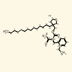 CCCCCCCCCCCCCCC1(COC(=O)N(Cc2cccc[n+]2CC)C(C)=O)CCOC1.[I-]